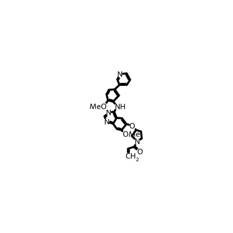 C=CC(=O)N1CCC(Oc2cc3c(Nc4cc(-c5cccnc5)ccc4OC)ncnc3cc2OC)C1